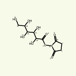 O=C(ON1C(=O)CCC1=O)C(O)C(O)C(O)C(O)CO